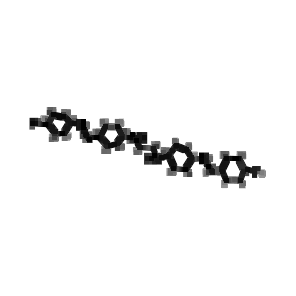 Fc1ccc(/N=N/c2ccc(NCCNc3ccc(/N=N/c4ccc(F)cc4)cc3)cc2)cc1